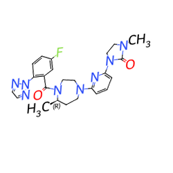 C[C@@H]1CCN(c2cccc(N3CCN(C)C3=O)n2)CCN1C(=O)c1cc(F)ccc1-n1nccn1